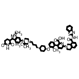 Cc1c(O[C@H]2CC[C@H](CCCCN3CCN(c4ccc5c(C6CCC(=O)NC6=O)nn(C)c5c4)C(C)(C)C3)CC2)cccc1-c1ccc(N2CCc3cccc(C(=O)Nc4nc5ccccc5s4)c3C2)nc1C(=O)O